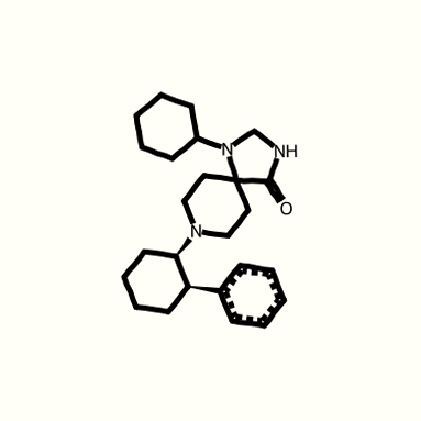 O=C1NCN(C2CCCCC2)C12CCN([C@@H]1CCCC[C@@H]1c1ccccc1)CC2